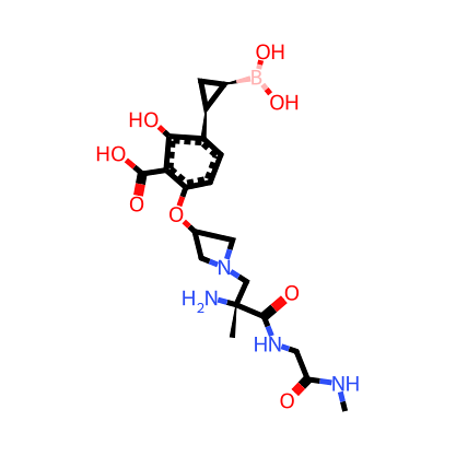 CNC(=O)CNC(=O)[C@](C)(N)CN1CC(Oc2ccc([C@H]3C[C@H]3B(O)O)c(O)c2C(=O)O)C1